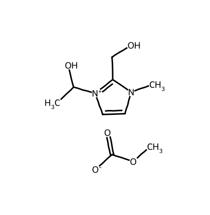 CC(O)[n+]1ccn(C)c1CO.COC(=O)[O-]